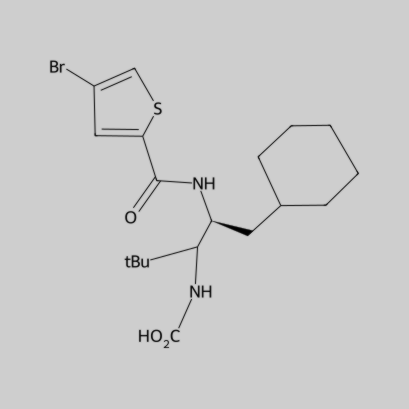 CC(C)(C)C(NC(=O)O)[C@H](CC1CCCCC1)NC(=O)c1cc(Br)cs1